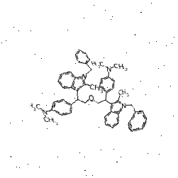 Cc1c(C(COCC(c2ccc(N(C)C)cc2)c2c(C)n(Cc3ccccc3)c3ccccc23)c2ccc(N(C)C)cc2)c2ccccc2n1Cc1ccccc1